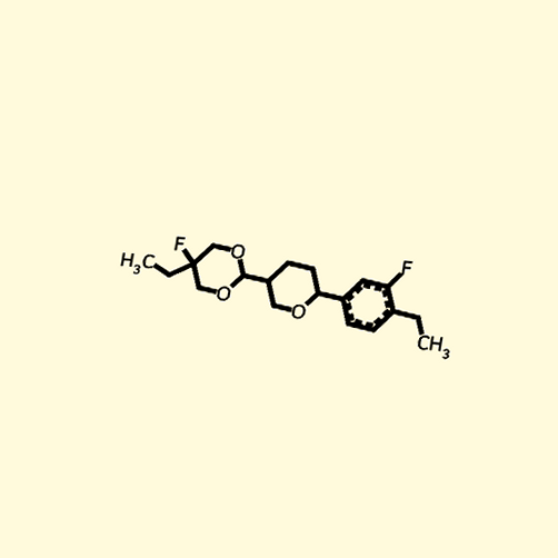 CCc1ccc(C2CCC(C3OCC(F)(CC)CO3)CO2)cc1F